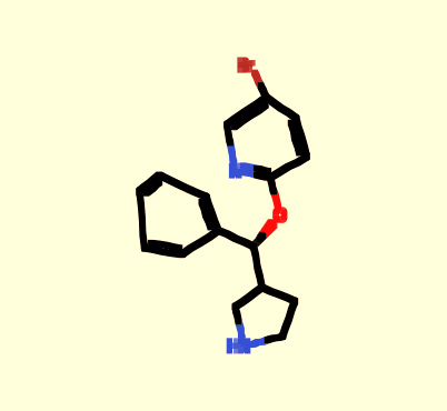 Brc1ccc(O[C@H](c2ccccc2)C2CCNC2)nc1